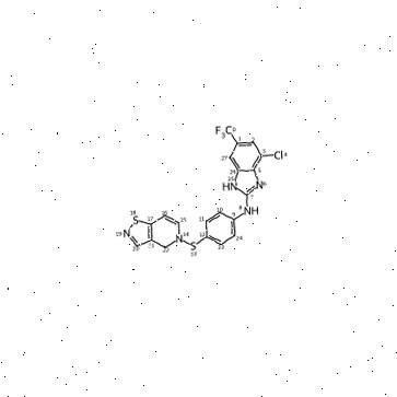 FC(F)(F)c1cc(Cl)c2nc(Nc3ccc(SN4C=Cc5sncc5C4)cc3)[nH]c2c1